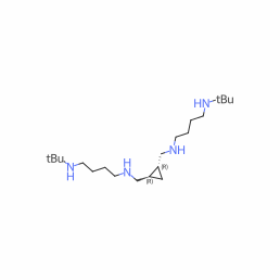 CC(C)(C)NCCCCNC[C@@H]1C[C@H]1CNCCCCNC(C)(C)C